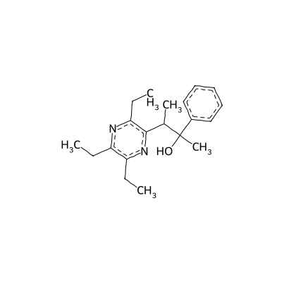 CCc1nc(CC)c(C(C)C(C)(O)c2ccccc2)nc1CC